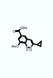 COC(=O)c1cc2c(c(OC)c1)NNC(C1CC1)=C2